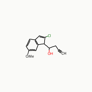 C#CCC(O)C1C(Cl)=Cc2ccc(OC)cc21